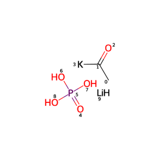 C[C](=O)[K].O=P(O)(O)O.[LiH]